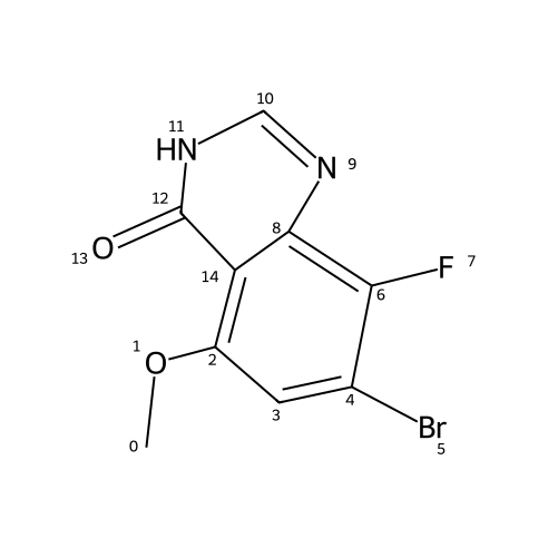 COc1cc(Br)c(F)c2nc[nH]c(=O)c12